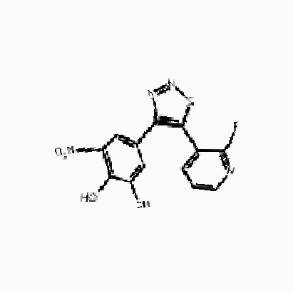 O=[N+]([O-])c1cc(-c2nnsc2-c2cccnc2F)cc(O)c1O